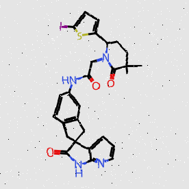 CC1(C)CCC(c2ccc(I)s2)N(CC(=O)Nc2ccc3c(c2)CC2(C3)C(=O)Nc3ncccc32)C1=O